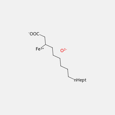 CCCCCCCCCCCCC[CH]([Fe+3])CC(=O)[O-].[O-2]